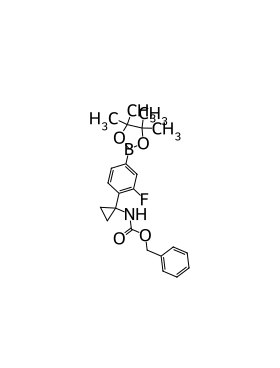 CC1(C)OB(c2ccc(C3(NC(=O)OCc4ccccc4)CC3)c(F)c2)OC1(C)C